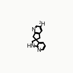 [2H]c1cnc2c(c1)CC1(CNc3ncccc31)C2